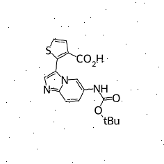 CC(C)(C)OC(=O)Nc1ccc2ncc(-c3sccc3C(=O)O)n2c1